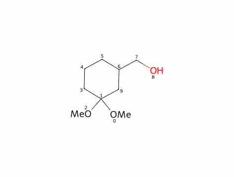 COC1(OC)CCCC(CO)C1